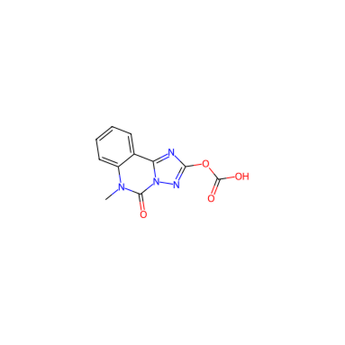 Cn1c(=O)n2nc(OC(=O)O)nc2c2ccccc21